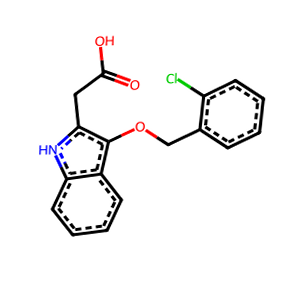 O=C(O)Cc1[nH]c2ccccc2c1OCc1ccccc1Cl